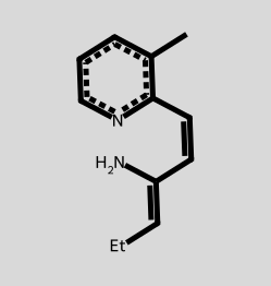 CC/C=C(N)/C=C\c1ncccc1C